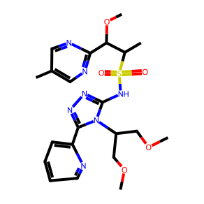 COCC(COC)n1c(NS(=O)(=O)C(C)C(OC)c2ncc(C)cn2)nnc1-c1ccccn1